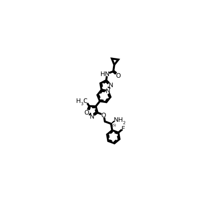 Cc1onc(OC[C@@H](N)c2ccccc2F)c1-c1ccn2nc(NC(=O)C3CC3)cc2c1